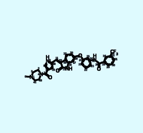 CN1CCN(C(=O)c2c[nH]c(/C=C3\C(=O)Nc4cc(Oc5cccc(NC(=O)c6cccc(C(F)(F)F)c6)c5)ccc43)c2)CC1